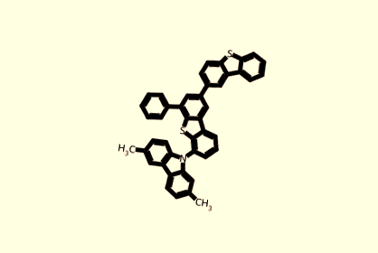 Cc1ccc2c(c1)c1ccc(C)cc1n2-c1cccc2c1sc1c(-c3ccccc3)cc(-c3ccc4sc5ccccc5c4c3)cc12